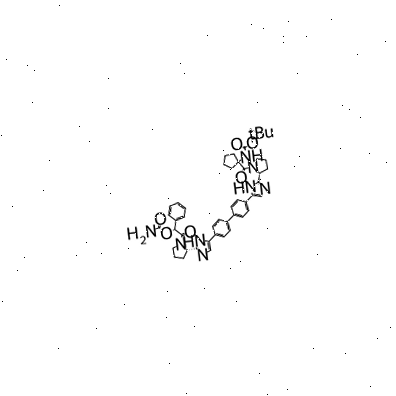 CC(C)(C)OC(=O)NC1(C(=O)N2CCC[C@H]2c2ncc(-c3ccc(-c4ccc(-c5cnc([C@@H]6CCCN6C(=O)[C@H](OC(N)=O)c6ccccc6)[nH]5)cc4)cc3)[nH]2)CCCC1